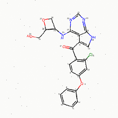 O=C(c1ccc(Oc2ccccc2)cc1Cl)c1c[nH]c2ncnc(NC3COC3CO)c12